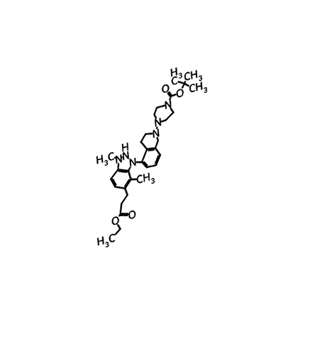 CCOC(=O)CCc1ccc2c(c1C)N(c1cccc3c1CCN(N1CCN(C(=O)OC(C)(C)C)CC1)C3)NN2C